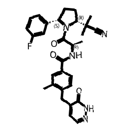 Cc1cc(C(=O)N[C@H](C)C(=O)N2[C@H](c3cccc(F)c3)CC[C@@H]2C(C)(C)C#N)ccc1Cc1ccn[nH]c1=O